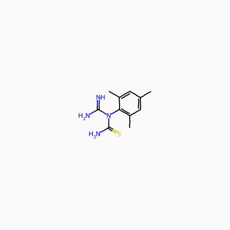 Cc1cc(C)c(N(C(=N)N)C(N)=S)c(C)c1